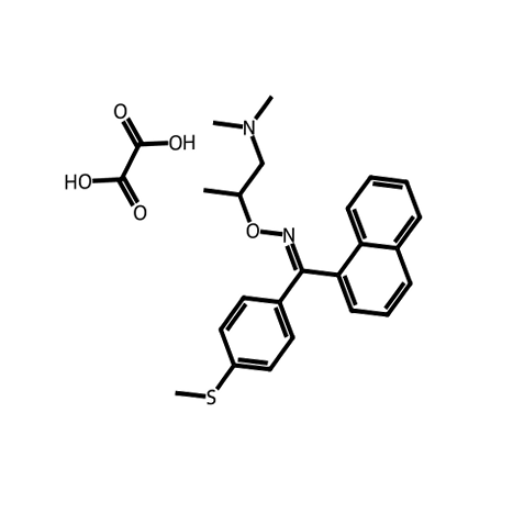 CSc1ccc(C(=NOC(C)CN(C)C)c2cccc3ccccc23)cc1.O=C(O)C(=O)O